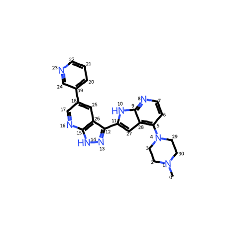 CN1CCN(c2ccnc3[nH]c(-c4n[nH]c5ncc(-c6cccnc6)cc45)cc23)CC1